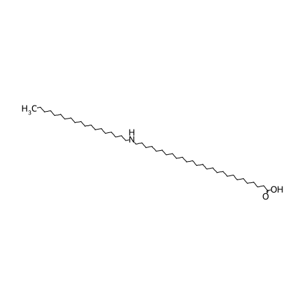 CCCCCCCCCCCCCCCCCCCNCCCCCCCCCCCCCCCCCCCCCCCCCCC(=O)O